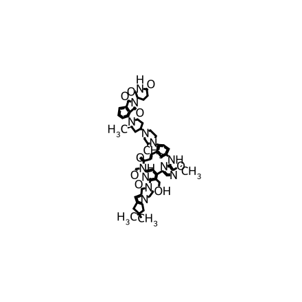 COc1ncc(-c2ccnc(N3CCn4c(cc5c4CC(C)(C)C5)C3=O)c2CO)nc1Nc1ccc(N2CCN(C3CCN(c4cccc5c4C(=O)N(C4CCC(=O)NC4=O)C5=O)[C@H](C)C3)C[C@@H]2C)c(C=CC(=O)NC=O)c1